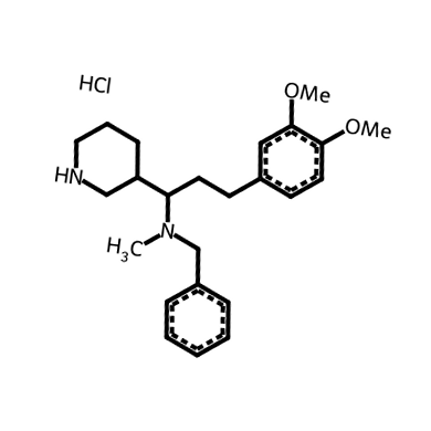 COc1ccc(CCC(C2CCCNC2)N(C)Cc2ccccc2)cc1OC.Cl